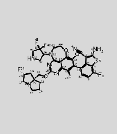 N#Cc1c(N)sc2c(F)ccc(-c3c(Cl)c4c5c(nc(OC[C@@]67CCCN6C[C@H](F)C7)nc5c3F)N([C@H]3CNCC3(F)F)CCO4)c12